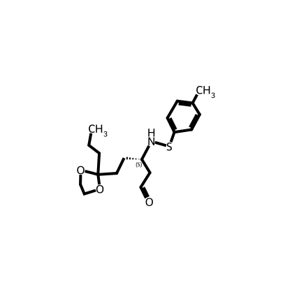 CCCC1(CC[C@@H](CC=O)NSc2ccc(C)cc2)OCCO1